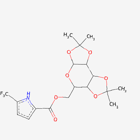 CC1(C)OC2OC(COC(=O)c3ccc(C(F)(F)F)[nH]3)C3OC(C)(C)OC3C2O1